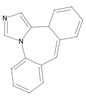 C1=CC2=Cc3ccccc3-n3cncc3C2C=C1